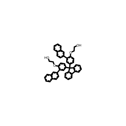 OCCOc1ccc(C2(c3ccc(OCCO)c(-c4ccc5ccccc5c4)c3)c3ccccc3-c3ccccc32)cc1-c1ccc2ccccc2c1